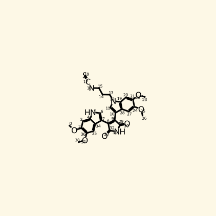 COc1cc2[nH]cc(C3=C(c4cn(CCCN=C=S)c5cc(OC)c(OC)cc45)C(=O)NC3=O)c2cc1OC